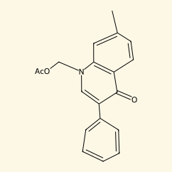 CC(=O)OCn1cc(-c2ccccc2)c(=O)c2ccc(C)cc21